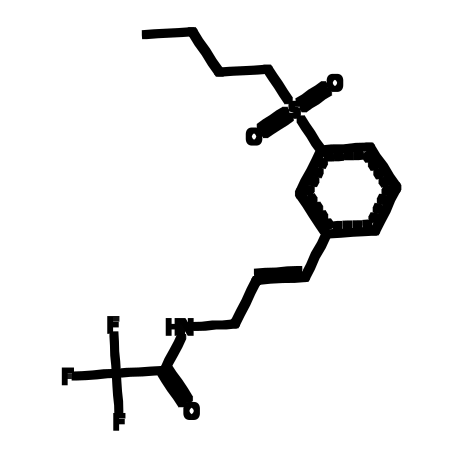 CCCCS(=O)(=O)c1cccc(C=CCNC(=O)C(F)(F)F)c1